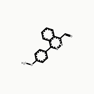 COc1ccc(-c2nnc(C=O)c3ccccc23)cc1